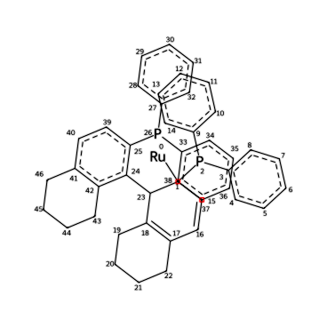 [Ru][C]1(P(c2ccccc2)c2ccccc2)C=CC2=C(CCCC2)C1c1c(P(c2ccccc2)c2ccccc2)ccc2c1CCCC2